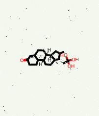 CC1C[C@H]2[C@@H]3CCC4=CC(=O)CC[C@]4(C)[C@H]3CC[C@]2(C)[C@H]1CC(O)(O)O